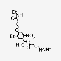 CCNC(=O)CCCOc1cc([N+](=O)[O-])c(C(C)OC(=O)CCCN=[N+]=[N-])cc1CC